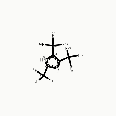 FC(F)(F)c1nc(C(F)(F)F)c(C(F)(F)F)[nH]1